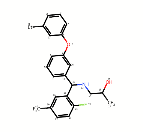 CCc1cccc(Oc2cccc(C(NCC(O)C(F)(F)F)c3cc(C(F)(F)F)ccc3F)c2)c1